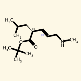 CNC/C=C/[C@@H](CC(C)C)C(=O)OC(C)(C)C